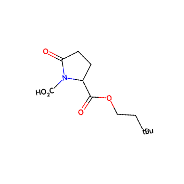 CC(C)(C)CCOC(=O)C1CCC(=O)N1C(=O)O